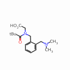 CN(C)Cc1ccccc1CN(CC(=O)O)C(=O)C(C)(C)C